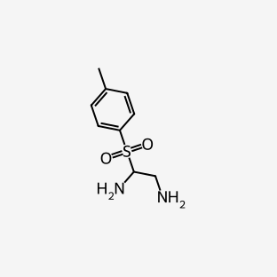 Cc1ccc(S(=O)(=O)C(N)CN)cc1